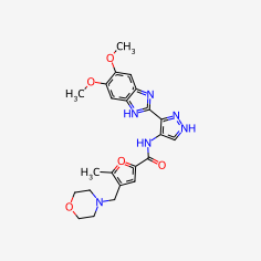 COc1cc2nc(-c3n[nH]cc3NC(=O)c3cc(CN4CCOCC4)c(C)o3)[nH]c2cc1OC